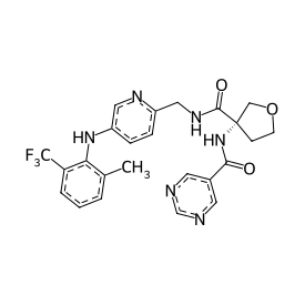 Cc1cccc(C(F)(F)F)c1Nc1ccc(CNC(=O)[C@]2(NC(=O)c3cncnc3)CCOC2)nc1